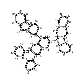 c1ccc(-c2cc3nc(-n4c5ccccc5c5cc6ccccc6cc54)nc(-c4ccc5c(c4)sc4ccccc45)c3cc2-c2ccccc2)cc1